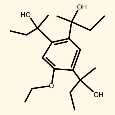 CCOc1cc(C(C)(O)CC)c(C(C)(O)CC)cc1C(C)(O)CC